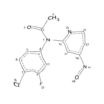 CC(=O)N(c1ccc(Cl)c(F)c1)c1cc(N=O)ccn1